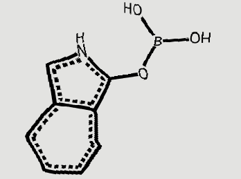 OB(O)Oc1[nH]cc2ccccc12